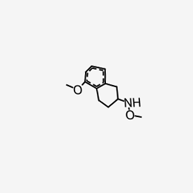 CONC1CCc2c(cccc2OC)C1